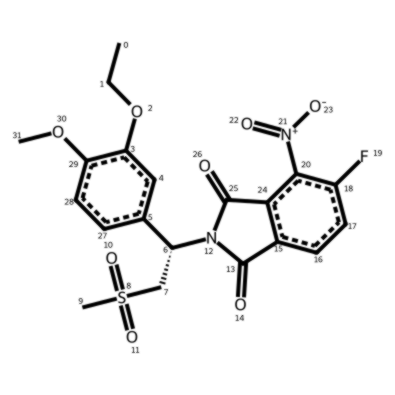 CCOc1cc([C@@H](CS(C)(=O)=O)N2C(=O)c3ccc(F)c([N+](=O)[O-])c3C2=O)ccc1OC